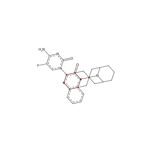 Nc1nc(=O)n(-c2nc3ccccc3n(C3CC4CCCC(C3)N4C3CC4CCCC(C4)C3)c2=O)cc1F